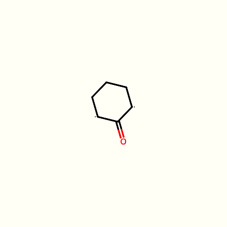 O=C1[CH]CCC[CH]1